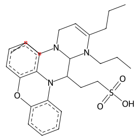 CCCC1=CCN(CCC)C(C(CCS(=O)(=O)O)N2c3ccccc3Oc3ccccc32)N1CCC